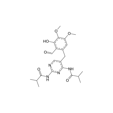 COc1cc(Cc2cnc(NC(=O)C(C)C)nc2NC(=O)C(C)C)c(C=O)c(O)c1OC